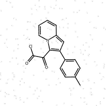 Cc1ccc(-c2cc3ccccn3c2C(=O)C(=O)Cl)cc1